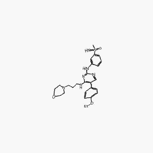 CCOc1ccc(-c2cnc(Nc3cccc(S(C)(=N)=O)c3)nc2NCCCN2CCOCC2)cc1